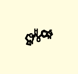 O=C(N[C@@H]1CCCC2CCN2C1)c1ccc2scnc2c1